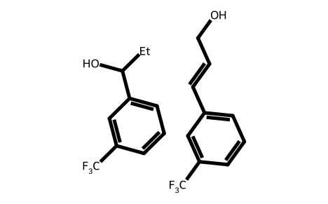 CCC(O)c1cccc(C(F)(F)F)c1.OCC=Cc1cccc(C(F)(F)F)c1